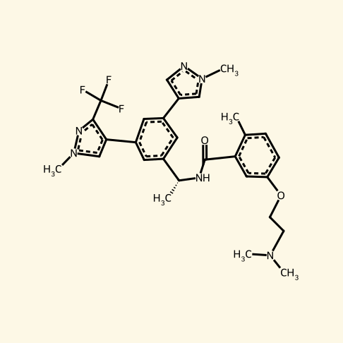 Cc1ccc(OCCN(C)C)cc1C(=O)N[C@H](C)c1cc(-c2cnn(C)c2)cc(-c2cn(C)nc2C(F)(F)F)c1